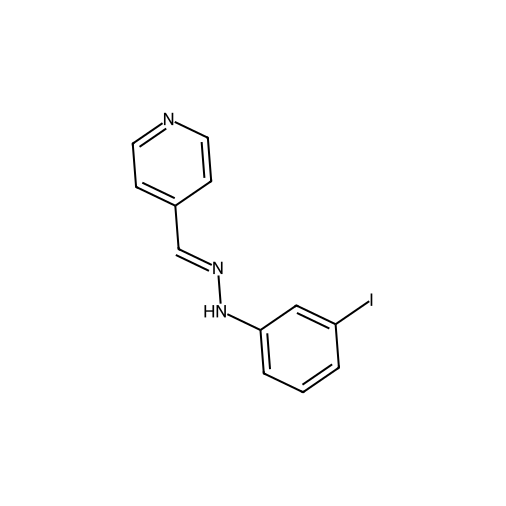 Ic1cccc(NN=Cc2ccncc2)c1